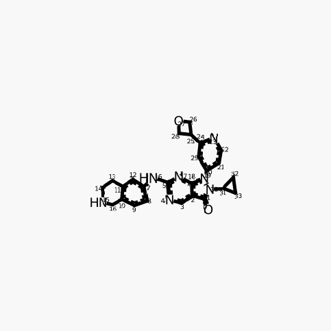 O=c1c2cnc(Nc3ccc4c(c3)CCNC4)nc2n(-c2ccnc(C3COC3)c2)n1C1CC1